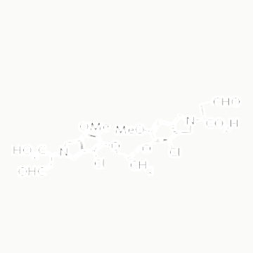 C=C(COc1c(OC)cc2c(c1Cl)CN(C(CC=O)C(=O)O)C2)COc1c(OC)cc2c(c1Cl)CN(C(CC=O)C(=O)O)C2